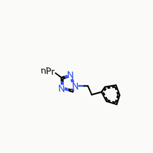 CCCc1ncn(CCc2ccccc2)n1